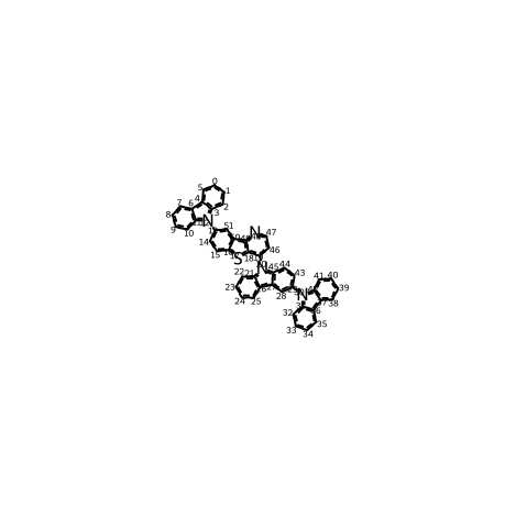 c1ccc2c(c1)c1ccccc1n2-c1ccc2sc3c(-n4c5ccccc5c5cc(-n6c7ccccc7c7ccccc76)ccc54)ccnc3c2c1